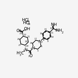 CN(C(=O)N1CCN(c2ccc(C(=N)N)cc2)CC1)[C@H]1CC[C@H](C(=O)O)CC1.Cl.Cl